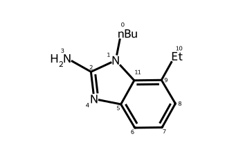 CCCCn1c(N)nc2cccc(CC)c21